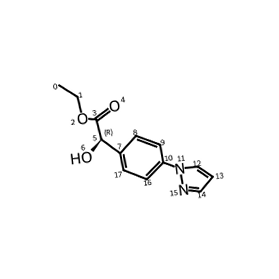 CCOC(=O)[C@H](O)c1ccc(-n2cccn2)cc1